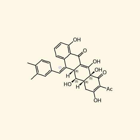 CC(=O)C1=C(O)C[C@@H]2[C@@H](O)[C@H]3C(=C(O)[C@]2(O)C1=O)C(=O)c1c(O)cccc1/C3=C\c1ccc(C)c(C)c1